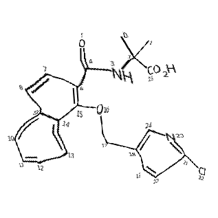 CC(C)(NC(=O)c1ccc2ccccc2c1OCc1ccc(Cl)nc1)C(=O)O